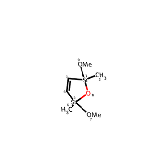 CO[Si]1(C)C=C[Si](C)(OC)O1